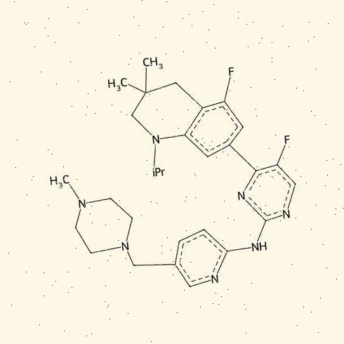 CC(C)N1CC(C)(C)Cc2c(F)cc(-c3nc(Nc4ccc(CN5CCN(C)CC5)cn4)ncc3F)cc21